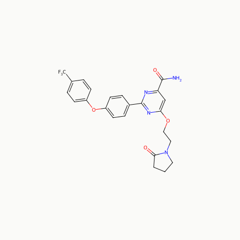 NC(=O)c1cc(OCCN2CCCC2=O)nc(-c2ccc(Oc3ccc(C(F)(F)F)cc3)cc2)n1